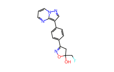 OC1(CF)CC(c2ccc(-c3cnn4cccnc34)cc2)=NO1